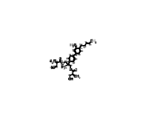 C=C(CO)C(=O)OCC(C)(COC(=O)C(=C)CO)c1ccc(-c2ccc(CCCCC)c(C)c2)cc1